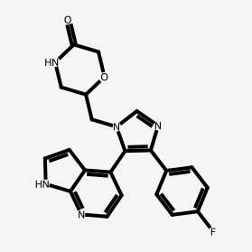 O=C1COC(Cn2cnc(-c3ccc(F)cc3)c2-c2ccnc3[nH]ccc23)CN1